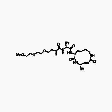 COCCOCCOCCNC(=O)N[C@H](C(=O)N[C@H]1/C=C/CCNC(=O)/C=C/[C@H](C(C)C)NC1=O)C(C)C